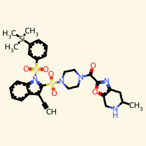 C#Cc1c(S(=O)(=O)N2CCN(C(=O)c3nc4c(o3)CNC(C)C4)CC2)n(S(=O)(=O)c2cccc([Si](C)(C)C)c2)c2ccccc12